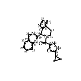 O=C(c1nnc(C2CC2)o1)N1CCc2[nH]cnc2[C@@H]1c1ncc2ccccc2n1